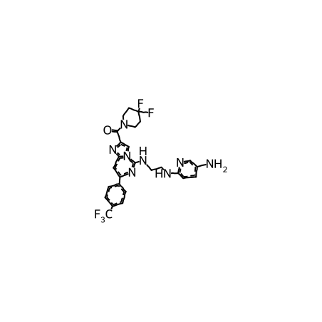 Nc1ccc(NCCNc2nc(-c3ccc(C(F)(F)F)cc3)cc3nc(C(=O)N4CCC(F)(F)CC4)cn23)nc1